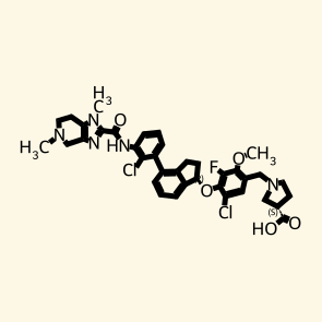 COc1c(CN2CC[C@H](C(=O)O)C2)cc(Cl)c(O[C@@H]2CCc3c(-c4cccc(NC(=O)c5nc6c(n5C)CCN(C)C6)c4Cl)cccc32)c1F